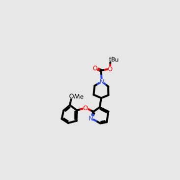 COc1ccccc1Oc1ncccc1C1CCN(C(=O)OC(C)(C)C)CC1